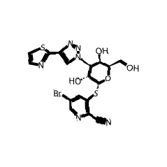 N#Cc1ncc(Br)cc1S[C@H]1O[C@H](CO)[C@H](O)[C@H](n2cc(-c3nccs3)nn2)[C@H]1O